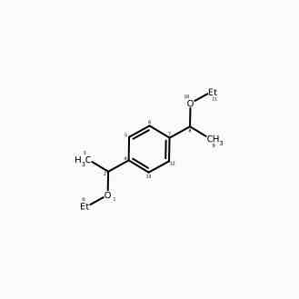 CCOC(C)c1ccc(C(C)OCC)cc1